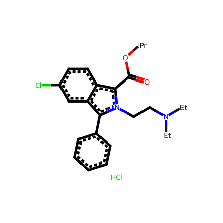 CCN(CC)CCn1c(C(=O)OC(C)C)c2ccc(Cl)cc2c1-c1ccccc1.Cl